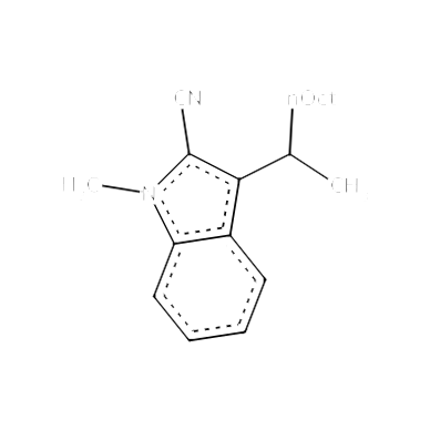 CCCCCCCCC(C)c1c(C#N)n(C)c2ccccc12